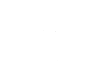 Cn1cc(-c2cn(S(=O)(=O)c3ccccc3)c3nccc(C4=CCCC4)c23)cn1